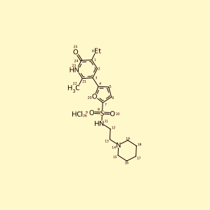 CCc1cc(-c2ccc(S(=O)(=O)NCCN3CCCCC3)o2)c(C)[nH]c1=O.Cl